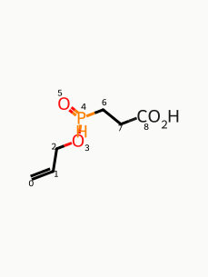 C=CCO[PH](=O)CCC(=O)O